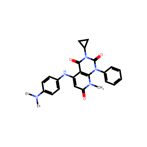 CCN(CC)c1ccc(Nc2cc(=O)n(C)c3c2c(=O)n(C2CC2)c(=O)n3-c2ccccc2)cc1